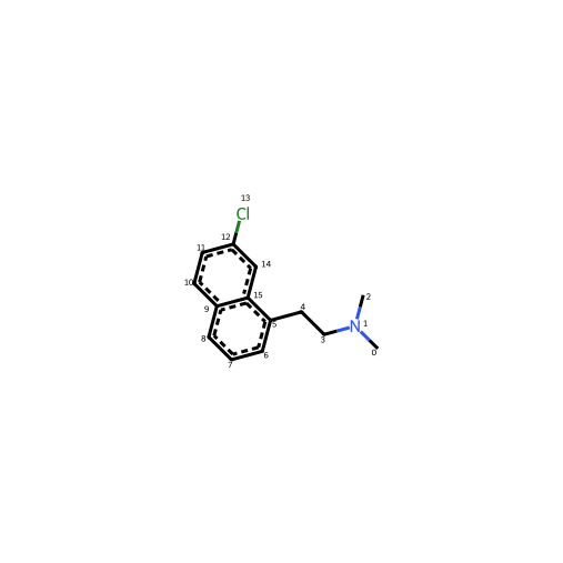 CN(C)CCc1cccc2ccc(Cl)cc12